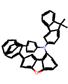 CC1(C)c2ccccc2-c2cc(N(c3ccc(-c4ccccc4)cc3)c3cccc4oc5ccc(-c6ccccc6)cc5c34)ccc21